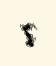 CC(C)(C)OC(=O)NC(CCOc1ccc(C(=O)C(=O)NC2CN(C(C(=O)O)c3cccs3)C2=O)cc1)C(=O)O